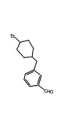 CCC1CCC(Cc2cccc(C=O)c2)CC1